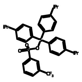 CC(C)c1ccc(S(OS(=O)(=O)c2cccc(C(F)(F)F)c2)(c2ccc(C(C)C)cc2)c2ccc(C(C)C)cc2)cc1